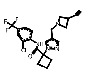 C#CC1CN(Cc2cnn(C3(C(=O)Nc4ccc(C(F)(F)F)cc4Cl)CCC3)c2)C1